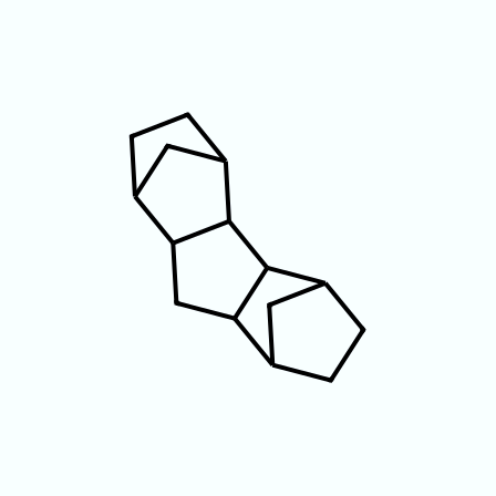 C1CC2CC1C1CC3C4CCC(C4)C3C21